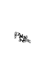 CCNC(=O)Nc1sc2c(c1C(=O)N1CCC(N3CCCC4(C3)CC(C)(C)OC4=O)CC1)CCN(C(C)=O)C2